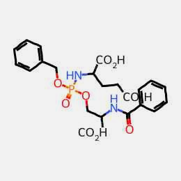 O=C(O)CCC(NP(=O)(OCc1ccccc1)OCC(NC(=O)c1ccccc1)C(=O)O)C(=O)O